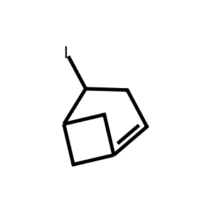 IC1CC=C2CC1C2